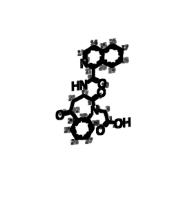 O=C(O)CN1C(=O)[C@@H](NC(=O)c2nccc3ccccc23)CC(=O)c2ccccc21